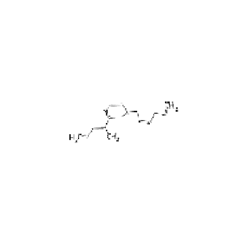 C=C/C=C(\C)C1=NC=C/C(=C/C=C\CC=C)C1